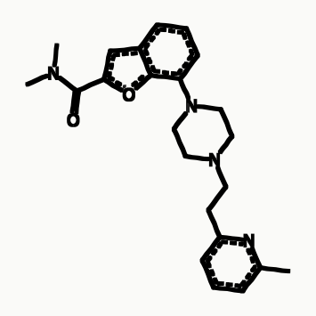 Cc1cccc(CCN2CCN(c3cccc4cc(C(=O)N(C)C)oc34)CC2)n1